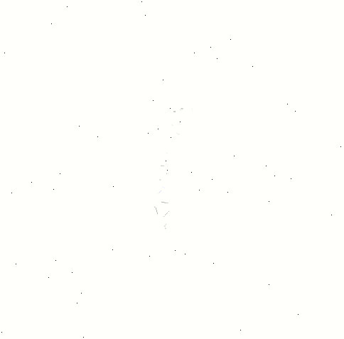 C=Cc1ccc(C=NCCCCCCCCCCCC)cc1